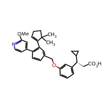 COc1cc(-c2ccc(COc3cccc([C@@H](CC(=O)O)C4CC4)c3)cc2C2=CCCC2(C)C)ccn1